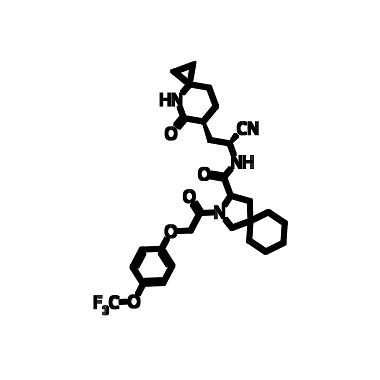 N#C[C@H](C[C@@H]1CCC2(CC2)NC1=O)NC(=O)C1CC2(CCCCC2)CN1C(=O)COc1ccc(OC(F)(F)F)cc1